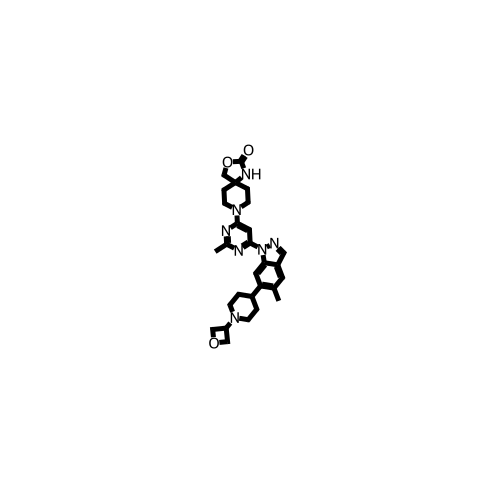 Cc1nc(N2CCC3(CC2)COC(=O)N3)cc(-n2ncc3cc(C)c(C4CCN(C5COC5)CC4)cc32)n1